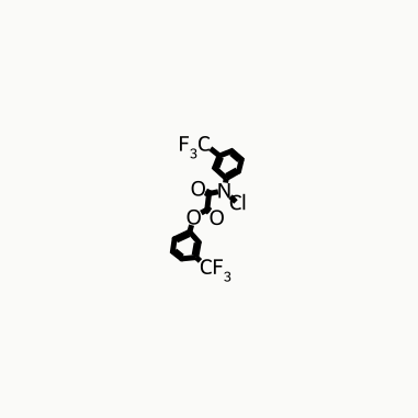 O=C(Oc1cccc(C(F)(F)F)c1)C(=O)N(Cl)c1cccc(C(F)(F)F)c1